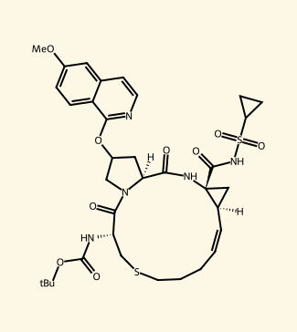 COc1ccc2c(OC3C[C@H]4C(=O)N[C@]5(C(=O)NS(=O)(=O)C6CC6)C[C@H]5/C=C\CCCSC[C@H](NC(=O)OC(C)(C)C)C(=O)N4C3)nccc2c1